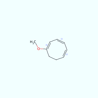 CO/C1=C/C=C\C=C/CC1